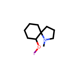 CN1CCCC12CCCCC2OI